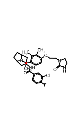 Cc1c(OCCN2CCNC2=O)ccc(C(C)N2C3CCC2CC(NC(=O)c2ccc(F)c(Cl)c2)C3)c1C